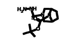 CC(C)(C)OC(=O)N1CC2CCC1CN(C(=S)NN)C2